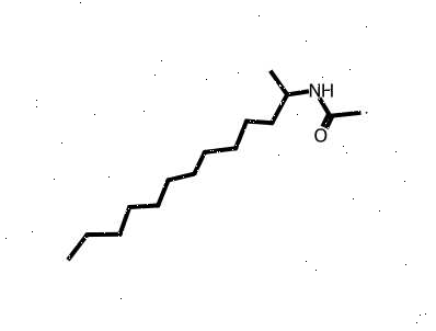 [CH2]C(=O)NC(C)CCCCCCCCCCC